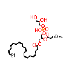 CC/C=C\C/C=C\C/C=C\C/C=C\C/C=C\C/C=C\CCC(=O)OC[C@H](COP(=O)(O)OC[C@@H](O)CO)OC(=O)CCCCCCCCCCC